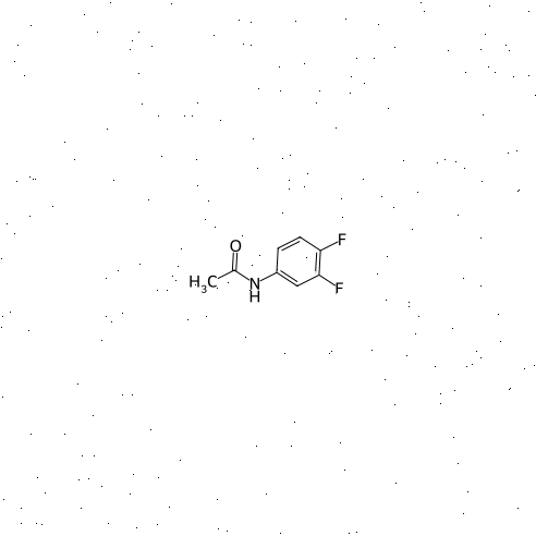 CC(=O)Nc1ccc(F)c(F)c1